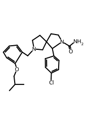 CC(C)COc1ccccc1CN1CCC2(CCN(C(N)=O)C2c2ccc(Cl)cc2)C1